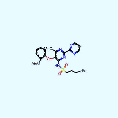 COc1ccccc1Oc1c(NS(=O)(=O)CCCC(C)(C)C)nc(-c2ncccn2)nc1OC